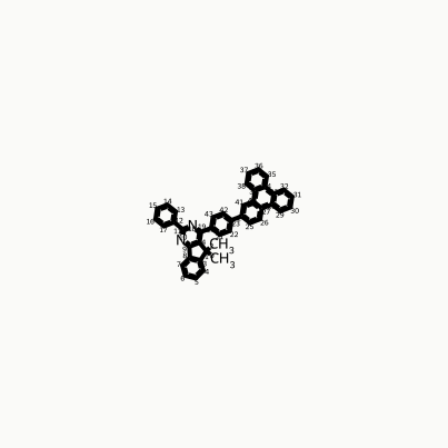 CC1(C)c2ccccc2-c2nc(-c3ccccc3)nc(-c3ccc(-c4ccc5c6ccccc6c6ccccc6c5c4)cc3)c21